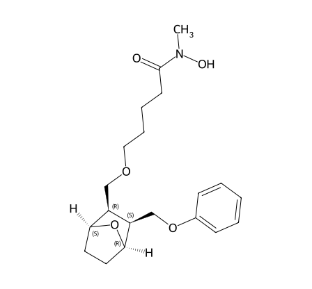 CN(O)C(=O)CCCCOC[C@H]1[C@@H](COc2ccccc2)[C@H]2CC[C@@H]1O2